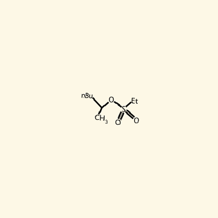 CCCCC(C)OS(=O)(=O)CC